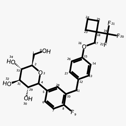 OC[C@H]1OC(c2ccc(F)c(Cc3ccc(OCC4(C(F)(F)F)CCC4)cc3)c2)[C@H](O)[C@@H](O)[C@@H]1O